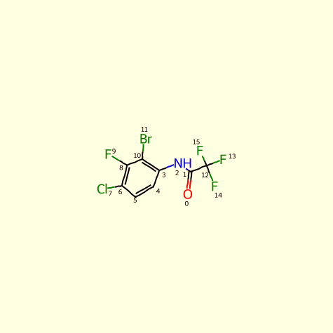 O=C(Nc1ccc(Cl)c(F)c1Br)C(F)(F)F